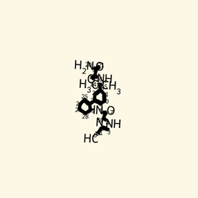 C#Cc1c[nH]c(C(=O)Nc2ccc(C(C)(C)NC(=O)C(N)=O)cc2C2=CCCCC2)n1